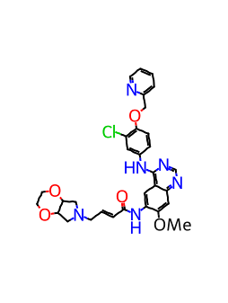 COc1cc2ncnc(Nc3ccc(OCc4ccccn4)c(Cl)c3)c2cc1NC(=O)/C=C/CN1CC2OCCOC2C1